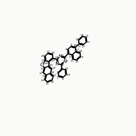 c1ccc(-c2nc(-c3ccc(-c4ccccc4)c4ccccc34)nc(-c3cccc4oc5cc6ccccc6cc5c34)n2)cc1